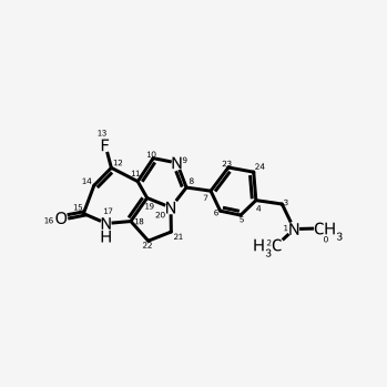 CN(C)Cc1ccc(C2=NC=C3C(F)=CC(=O)NC4=C3N2CC4)cc1